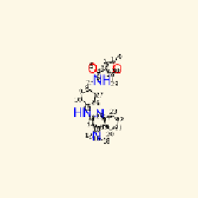 Cc1cc(C(=O)NC[C@H]2CC[C@@H](Nc3cc(N(C)C)c4ccccc4n3)CC2)c(C)o1